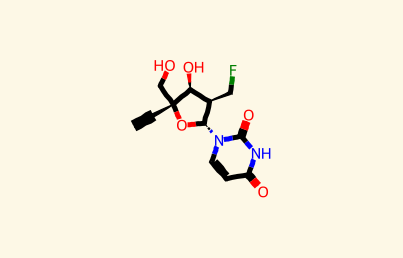 C#C[C@]1(CO)O[C@@H](n2ccc(=O)[nH]c2=O)[C@H](CF)[C@@H]1O